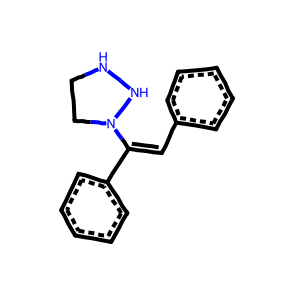 C(=C(c1ccccc1)N1CCNN1)c1ccccc1